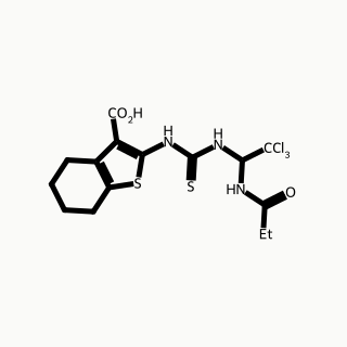 CCC(=O)NC(NC(=S)Nc1sc2c(c1C(=O)O)CCCC2)C(Cl)(Cl)Cl